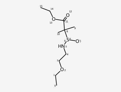 CCOCCN[S+]([O-])C(C)(C)C(=O)OCC